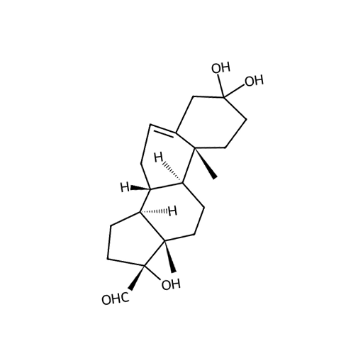 C[C@]12CCC(O)(O)CC1=CC[C@@H]1[C@@H]2CC[C@@]2(C)[C@H]1CC[C@]2(O)C=O